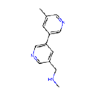 CNCc1cncc(-c2cncc(C)c2)c1